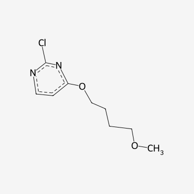 COCCCCOc1ccnc(Cl)n1